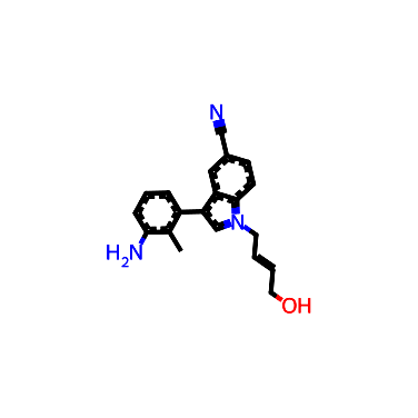 Cc1c(N)cccc1-c1cn(CC=CCO)c2ccc(C#N)cc12